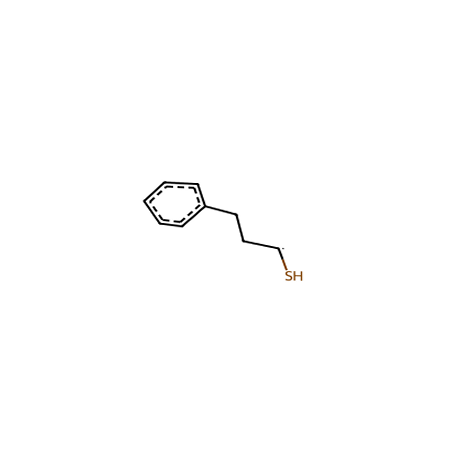 S[CH]CCc1ccccc1